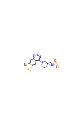 CS(=O)(=O)NCC1CCCN(c2ncnc3cc(Br)c(P)cc23)C1